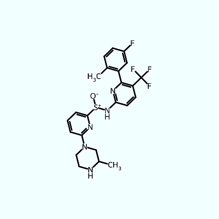 Cc1ccc(F)cc1-c1nc(N[S+]([O-])c2cccc(N3CCNC(C)C3)n2)ccc1C(F)(F)F